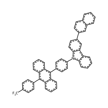 FC(F)(F)c1ccc(-c2c3ccccc3c(-c3ccc(-n4c5ccccc5c5cc(-c6ccc7ccccc7c6)ccc54)cc3)c3ccccc23)cc1